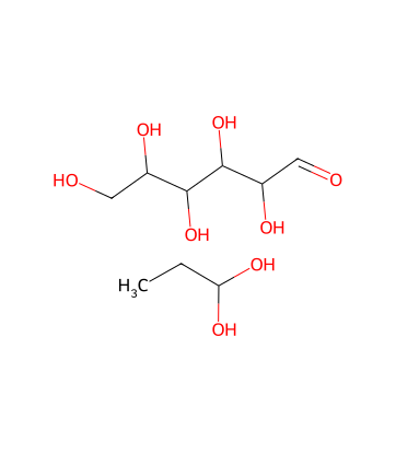 CCC(O)O.O=CC(O)C(O)C(O)C(O)CO